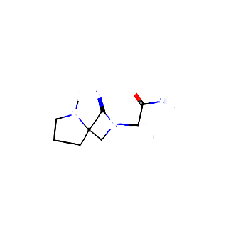 CC[C@@H](C(N)=O)N1CC2(CCCN2CC)C1=N